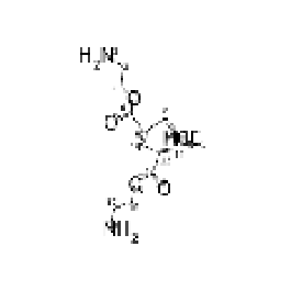 Cl.Cl.NCCOC(=O)c1cccc(C(=O)OCCN)c1